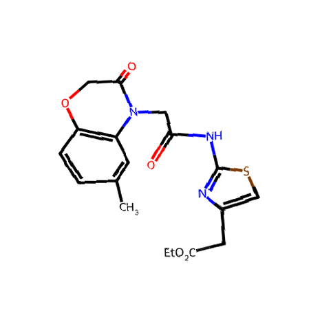 CCOC(=O)Cc1csc(NC(=O)CN2C(=O)COc3ccc(C)cc32)n1